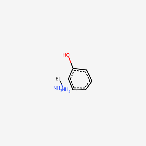 CCN.N.Oc1ccccc1